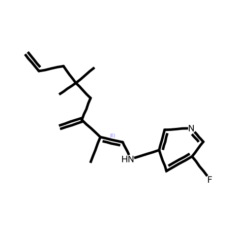 C=CCC(C)(C)CC(=C)/C(C)=C/Nc1cncc(F)c1